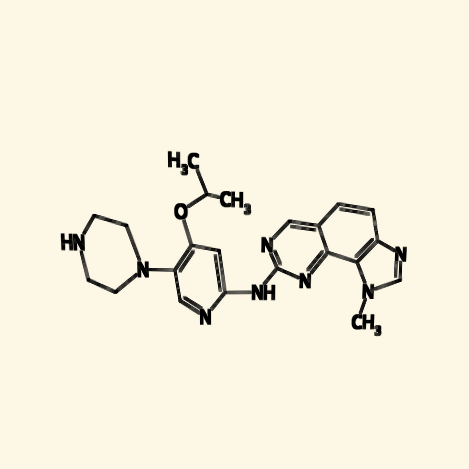 CC(C)Oc1cc(Nc2ncc3ccc4ncn(C)c4c3n2)ncc1N1CCNCC1